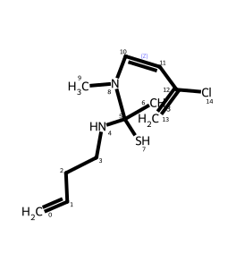 C=CCCNC(C)(S)N(C)/C=C\C(=C)Cl